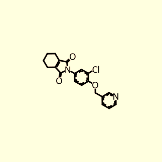 O=C1C2=C(CCCC2)C(=O)N1c1ccc(OCc2cccnc2)c(Cl)c1